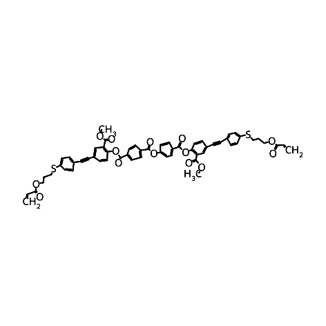 C=CC(=O)OCCCSc1ccc(C#Cc2ccc(OC(=O)c3ccc(OC(=O)c4ccc(C(=O)Oc5ccc(C#Cc6ccc(SCCCOC(=O)C=C)cc6)cc5C(=O)OC)cc4)cc3)c(C(=O)OC)c2)cc1